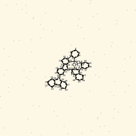 CC1(C)c2ccccc2-c2ccc3c4ccc(-n5c6ccccc6c6ccccc65)cc4n(-c4nc(-c5ccccc5)c5ccccc5n4)c3c21